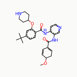 COC1C=CC(C(=O)Nc2cnccc2NC(=O)c2ccc(C(C)(C)C)cc2OC2CCNCC2)=CC1